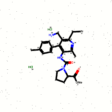 COC(=O)C1CCCN1C(=O)Nc1c(C)nc(CC(C)C)c(CN)c1-c1ccc(C)cc1.Cl.Cl